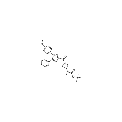 COc1ccc(-n2nc(C(=O)N3CC(N(C)C(=O)OC(C)(C)C)C3)cc2-c2ccccc2)cn1